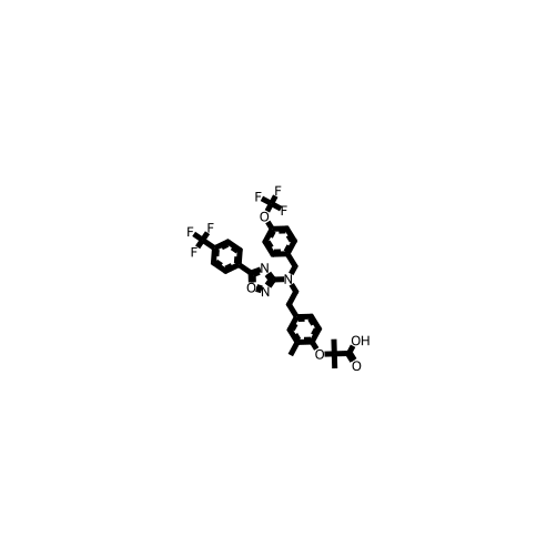 Cc1cc(CCN(Cc2ccc(OC(F)(F)F)cc2)c2noc(-c3ccc(C(F)(F)F)cc3)n2)ccc1OC(C)(C)C(=O)O